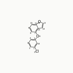 Clc1cccc(Oc2cccc3occc23)c1